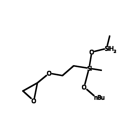 CCCCO[Si](C)(CCOC1CO1)O[SiH2]C